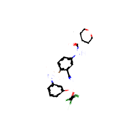 C[C@@H]1COCC[C@@H]1C(=O)Nc1ccc(S(=O)(=O)Nc2cccc(OC(F)(F)F)c2)c(C#N)c1